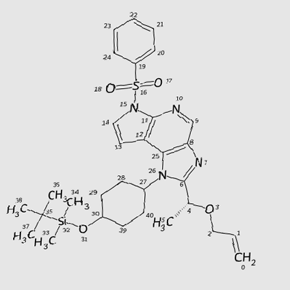 C=CCO[C@H](C)c1nc2cnc3c(ccn3S(=O)(=O)c3ccccc3)c2n1C1CCC(O[Si](C)(C)C(C)(C)C)CC1